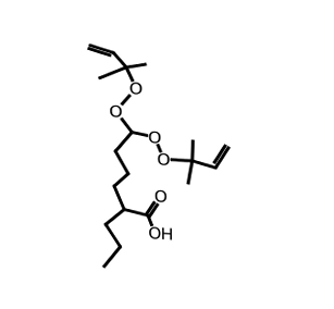 C=CC(C)(C)OOC(CCCC(CCC)C(=O)O)OOC(C)(C)C=C